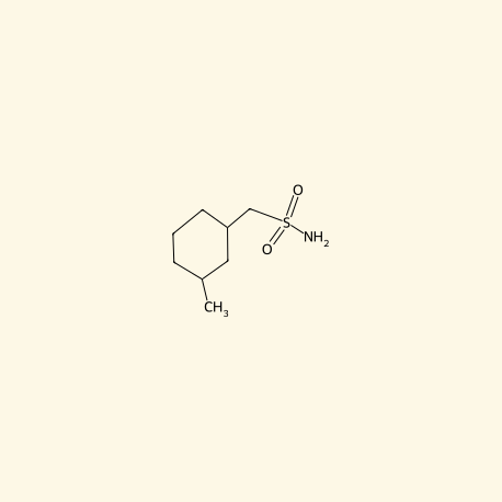 CC1CCCC(CS(N)(=O)=O)C1